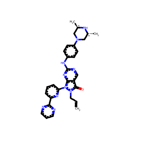 C=CCn1c(=O)c2cnc(Nc3ccc(N4C[C@@H](C)N[C@H](C)C4)cc3)nc2n1-c1cccc(-c2ncccn2)n1